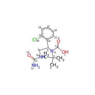 CC(C)(C)N(C(=O)O)C(CNC(N)=O)c1ccccc1Cl